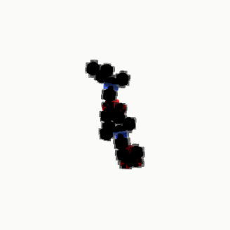 c1ccc(-c2cc(-c3cc(-c4cccc5c4-c4ccccc4C54c5ccccc5Oc5c(-c6ccc(-c7nc(-c8ccccc8)cc(-c8ccc(-c9ccccc9)c9ccccc89)n7)cc6)cccc54)cc4ccccc34)nc(-c3ccc(-c4cccc5c4Oc4ccccc4C54c5ccccc5-c5ccccc54)cc3)n2)cc1